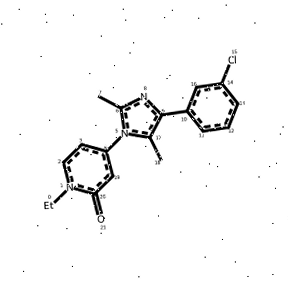 CCn1ccc(-n2c(C)nc(-c3cccc(Cl)c3)c2C)cc1=O